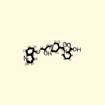 O=C(O)C1CCCCN1C(=O)C1CCN(CC(O)COc2cccc3ncccc23)CC1